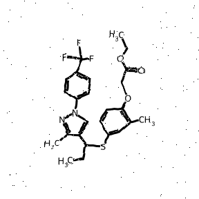 CCOC(=O)COc1ccc(SC(CC)c2cn(-c3ccc(C(F)(F)F)cc3)nc2C)cc1C